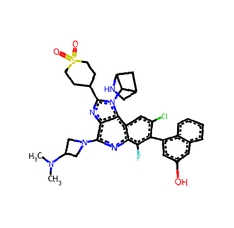 CN(C)C1CN(c2nc3c(F)c(-c4cc(O)cc5ccccc45)c(Cl)cc3c3c2nc(C2CCS(=O)(=O)CC2)n3C2C3CNC2C3)C1